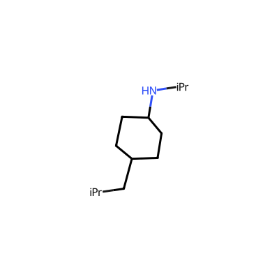 CC(C)CC1CCC(NC(C)C)CC1